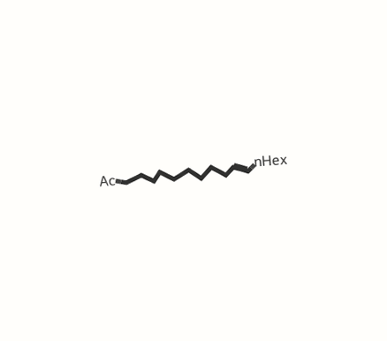 CCCCCC/C=C/CCCCCCCCCC(C)=O